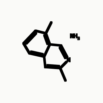 Cc1cc2cccc(C)c2cn1.N